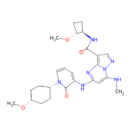 CNc1cc(Nc2cccn([C@H]3CC[C@@H](OC)CC3)c2=O)nc2c(C(=O)N[C@@H]3CC[C@H]3OC)cnn12